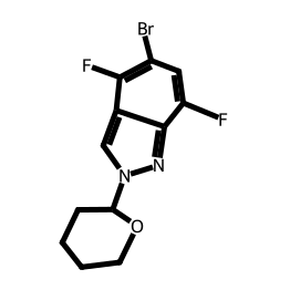 Fc1c(Br)cc(F)c2nn(C3CCCCO3)cc12